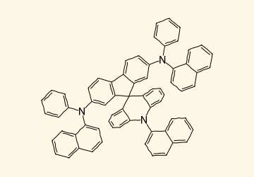 c1ccc(N(c2ccc3c(c2)C2(c4cc(N(c5ccccc5)c5cccc6ccccc56)ccc4-3)c3ccccc3N(c3cccc4ccccc34)c3ccccc32)c2cccc3ccccc23)cc1